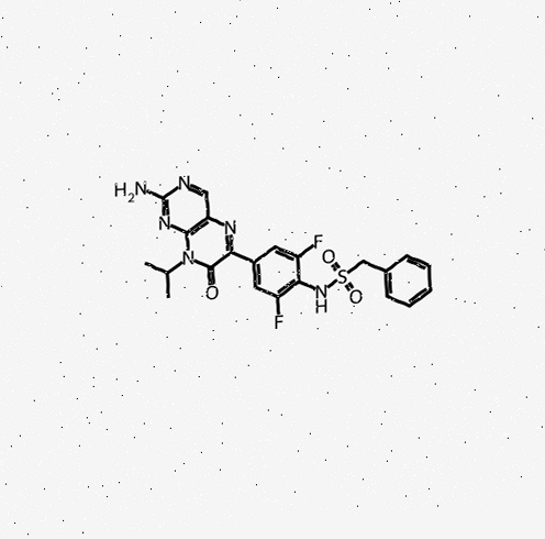 CC(C)n1c(=O)c(-c2cc(F)c(NS(=O)(=O)Cc3ccccc3)c(F)c2)nc2cnc(N)nc21